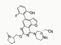 CN1CCCC1COc1nc(N2CCN[C@@H](CC#N)C2)c2c(cc(-c3c(O)cccc3F)c3ccoc32)n1